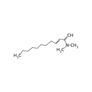 [CH]=C(C=CCCCCCCCC)N(C)C